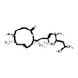 C/C(=C\[C@@H](C)C(O)CC(C)O)C[C@H](C)C1C/C=C/C[C@H](C)[C@@H](O)CCCC(=O)O1